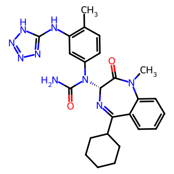 Cc1ccc(N(C(N)=O)[C@H]2N=C(C3CCCCC3)c3ccccc3N(C)C2=O)cc1Nc1nnn[nH]1